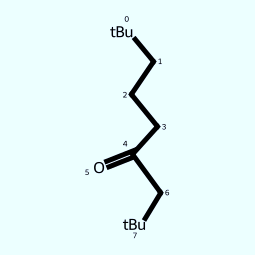 CC(C)(C)CCCC(=O)CC(C)(C)C